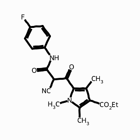 CCOC(=O)c1c(C)c(C(=O)C(C#N)C(=O)Nc2ccc(F)cc2)n(C)c1C